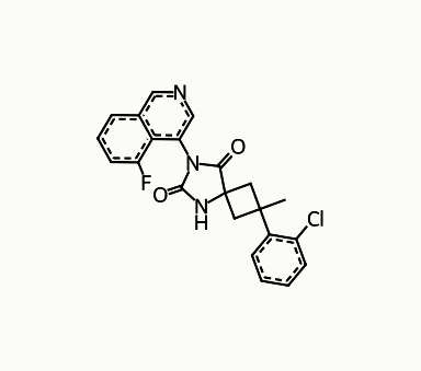 CC1(c2ccccc2Cl)CC2(C1)NC(=O)N(c1cncc3cccc(F)c13)C2=O